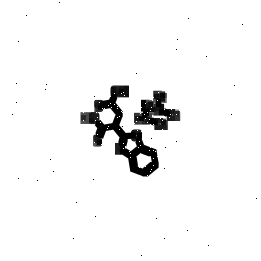 CCNCC.CCNCC.OC(=S)CC(C(O)=S)c1nc2ccccc2o1